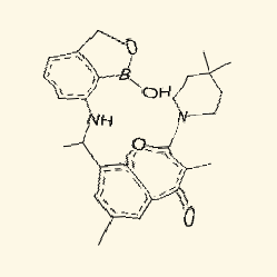 Cc1cc(C(C)Nc2cccc3c2B(O)OC3)c2oc(N3CCC(C)(C)CC3)c(C)c(=O)c2c1